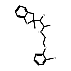 CC(NCCOc1ccccc1Cl)C(O)C1(C)Cc2ccccc2S1